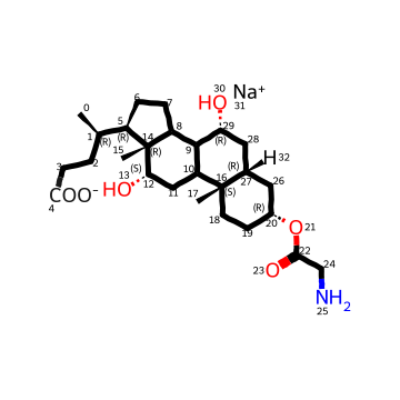 C[C@H](CCC(=O)[O-])[C@H]1CCC2C3C(C[C@H](O)[C@@]21C)[C@@]1(C)CC[C@@H](OC(=O)CN)C[C@H]1C[C@H]3O.[Na+]